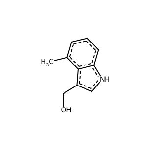 Cc1cccc2[nH]cc(CO)c12